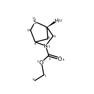 CCOC(=O)N1C[C@@H]2CC1CS2